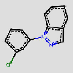 Clc1cccc(-n2ncc3c[c]ccc32)c1